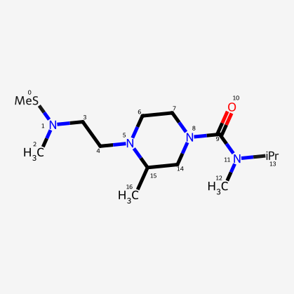 CSN(C)CCN1CCN(C(=O)N(C)C(C)C)CC1C